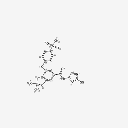 CCc1nnc(NC(=O)c2cc(Oc3ccc(S(C)(=O)=O)cc3)c3c(c2)OC(C)(C)C3)s1